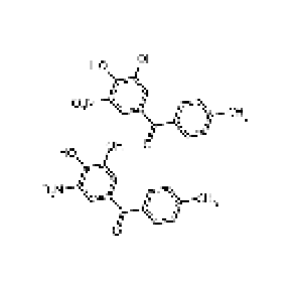 Cc1ccc(C(=O)c2cc(O)c(O)c([N+](=O)[O-])c2)cc1.Cc1ccc(C(=O)c2cc(O)c(O)c([N+](=O)[O-])c2)cc1